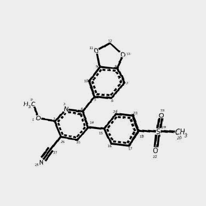 COc1nc(-c2ccc3c(c2)OCO3)c(-c2ccc(S(C)(=O)=O)cc2)cc1C#N